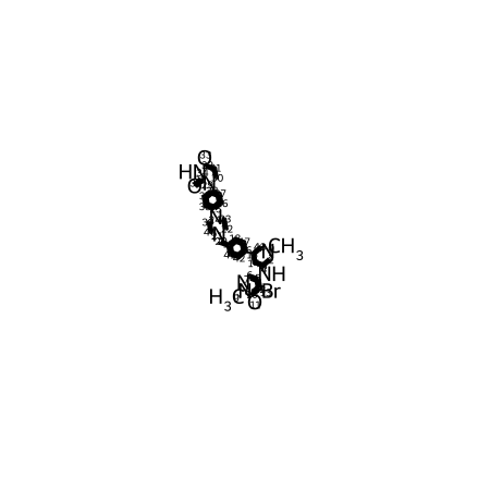 CN1C[C@H](Nc2cnn(C)c(=O)c2Br)C[C@H](c2ccc(CN3CCN(c4ccc(N5CCC(=O)NC5=O)cc4)CC3)cc2)C1